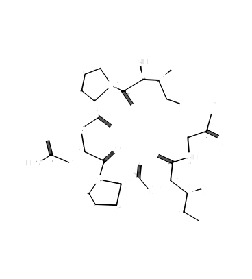 CC[C@H](C)[C@H](N)C(=O)N1CCC[C@H]1C(=O)N[C@@H](CC(N)=O)C(=O)N1CCC[C@H]1C(=O)N[C@H](C(=O)NCC(=O)O)[C@@H](C)CC